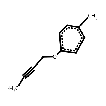 [CH2]C#CCOc1ccc(C)cc1